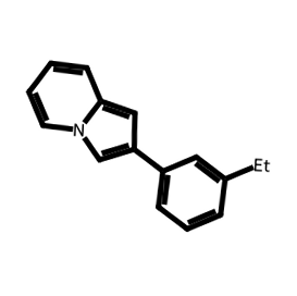 CCc1cccc(-c2cc3ccccn3c2)c1